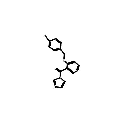 C=C(c1ccccc1OCc1ccc(Cl)cc1)n1ccnc1